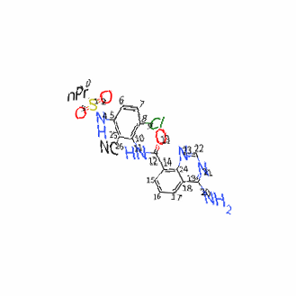 CCCS(=O)(=O)Nc1ccc(Cl)c(NC(=O)c2cccc3c(N)ncnc23)c1C#N